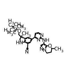 CC1CCn2ncc(Nc3nccc(-c4cc(C#N)c5c(c4)[C@@](C)(CO[Si](C)(C)C(C)(C)C)CN5)n3)c2O1